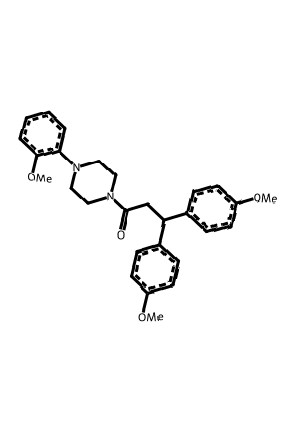 COc1ccc(C(CC(=O)N2CCN(c3ccccc3OC)CC2)c2ccc(OC)cc2)cc1